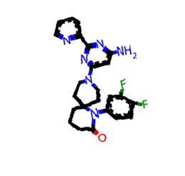 Nc1cc(N2CCC3(CCCC(=O)N3c3ccc(F)c(F)c3)CC2)nc(-c2ccccn2)n1